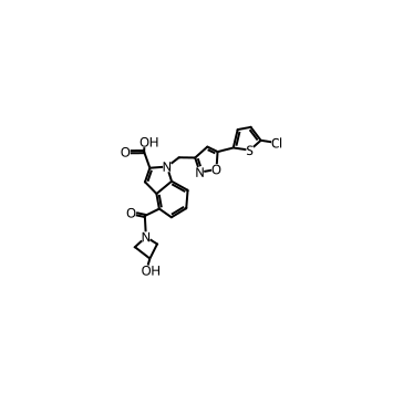 O=C(O)c1cc2c(C(=O)N3CC(O)C3)cccc2n1Cc1cc(-c2ccc(Cl)s2)on1